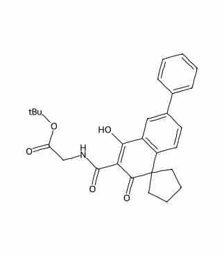 CC(C)(C)OC(=O)CNC(=O)C1=C(O)c2cc(-c3ccccc3)ccc2C2(CCCC2)C1=O